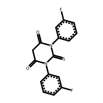 O=C1CC(=O)N(c2cccc(F)c2)C(=S)N1c1cccc(F)c1